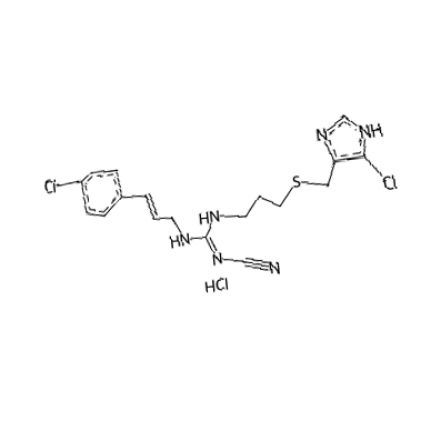 Cl.N#C/N=C(/NC/C=C/c1ccc(Cl)cc1)NCCCSCc1nc[nH]c1Cl